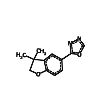 CC1(C)COc2ccc(-c3nnco3)cc21